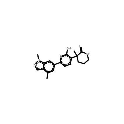 Cc1cc(-c2ccc(C3(C)CCCNC3=O)c(O)n2)cc2c1cnn2C